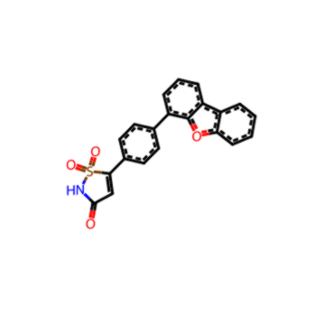 O=C1C=C(c2ccc(-c3cccc4c3oc3ccccc34)cc2)S(=O)(=O)N1